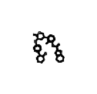 C=C(Oc1cccc(C2COC(=C)C(Oc3ccc(C4CCCCC4=O)cc3)C2)c1C)C1=CC2=C(CCCC2)C1